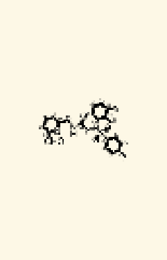 Cc1ccc(S(=O)(=O)N(CC(=O)NCc2cccc(C=O)n2)c2cccc(C)c2C)cc1